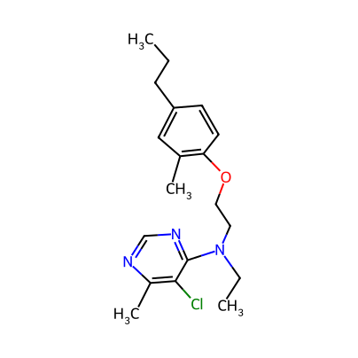 CCCc1ccc(OCCN(CC)c2ncnc(C)c2Cl)c(C)c1